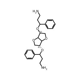 NCCC(O[C@H]1COC2C1OC[C@H]2OC(CCN)c1ccccc1)c1ccccc1